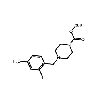 CC(C)(C)OC(=O)N1CCN(Cc2ccc(C(F)(F)F)cc2I)CC1